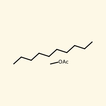 CCCCCCCCCC.COC(C)=O